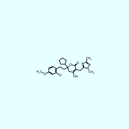 COc1ccc(CCC2(C3CCCC3)CC(O)=C(Cc3nc(C)nn3C)C(=O)O2)c(Cl)c1